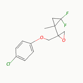 CC1(C2(COc3ccc(Cl)cc3)CO2)CC1(F)F